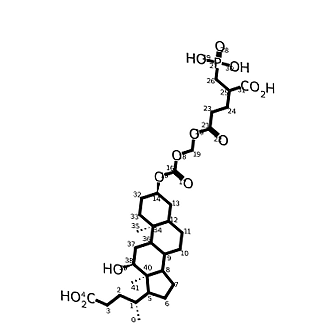 C[C@H](CCC(=O)O)C1CCC2C3CCC4C[C@H](OC(=O)OCOC(=O)CCC(CP(=O)(O)O)C(=O)O)CC[C@]4(C)C3C[C@H](O)[C@@]21C